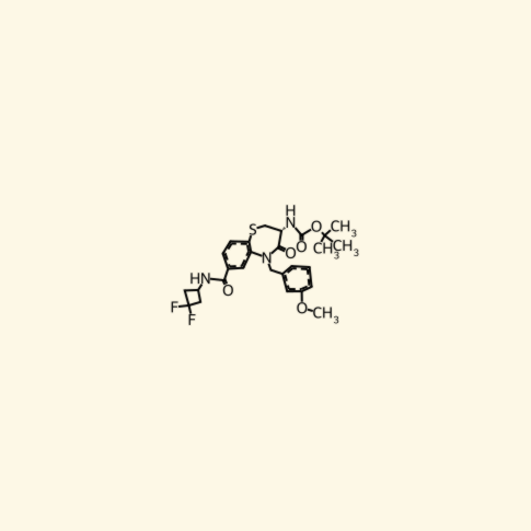 COc1cccc(CN2C(=O)[C@@H](NC(=O)OC(C)(C)C)CSc3ccc(C(=O)NC4CC(F)(F)C4)cc32)c1